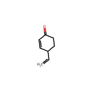 C=CC1C=CC(=O)CC1